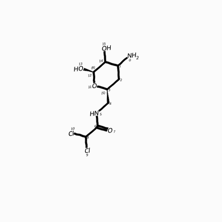 NC1C[C@@H](CNC(=O)C(Cl)Cl)O[C@@H](O)C1O